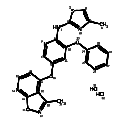 Cc1csc(Nc2ncc(Sc3ccnc4onc(C)c34)cc2Oc2ccccc2)n1.Cl.Cl